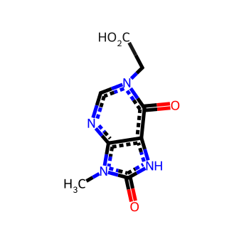 Cn1c(=O)[nH]c2c(=O)n(CC(=O)O)cnc21